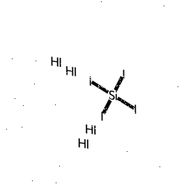 I.I.I.I.I[Si](I)(I)I